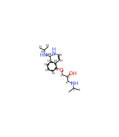 CC(C)NCC(O)COc1cccc2c1C=CNC2NC(C)C